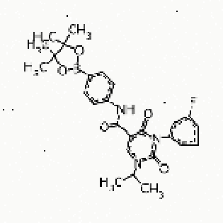 CC(C)n1cc(C(=O)Nc2ccc(B3OC(C)(C)C(C)(C)O3)cc2)c(=O)n(-c2cccc(F)c2)c1=O